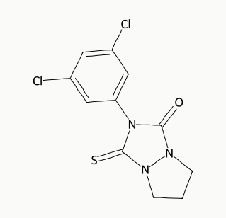 O=c1n(-c2cc(Cl)cc(Cl)c2)c(=S)n2n1CCC2